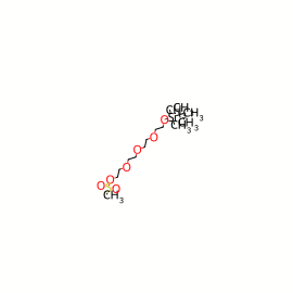 CC(C)(C)[Si](C)(C)OCCOCCOCCOCCOS(C)(=O)=O